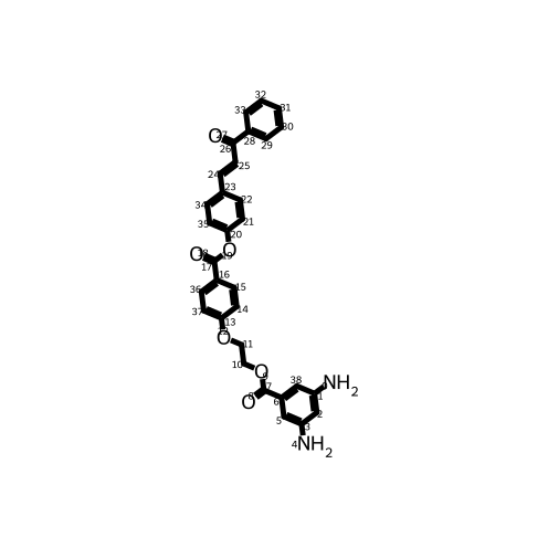 Nc1cc(N)cc(C(=O)OCCOc2ccc(C(=O)Oc3ccc(C=CC(=O)c4ccccc4)cc3)cc2)c1